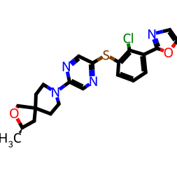 C[C@H]1CC2(CCN(c3cnc(Sc4cccc(-c5ncco5)c4Cl)cn3)CC2)CO1